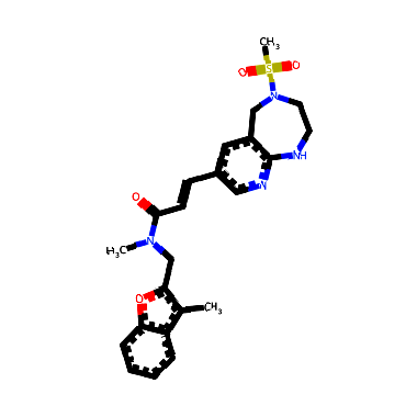 Cc1c(CN(C)C(=O)/C=C/c2cnc3c(c2)CN(S(C)(=O)=O)CCN3)oc2ccccc12